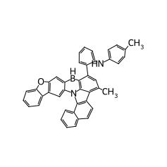 Cc1ccc(Nc2ccccc2-c2cc(C)c3c4ccc5ccccc5c4n4c3c2Bc2cc3oc5ccccc5c3cc2-4)cc1